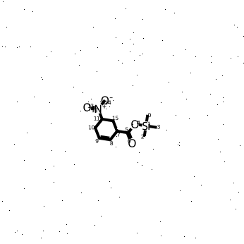 C[Si](C)(C)OC(=O)C1C=CCC([N+](=O)[O-])C1